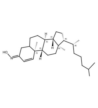 CC(C)CCC[C@@H](C)[C@H]1CC[C@H]2[C@@H]3CCC4CC(=NO)C=C[C@]4(C)[C@H]3CC[C@]12C